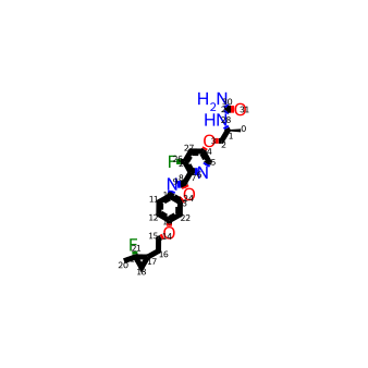 C[C@@H](COc1cnc(-c2nc3ccc(OCCC4CC4(C)F)cc3o2)c(F)c1)NC(N)=O